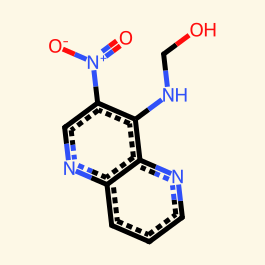 O=[N+]([O-])c1cnc2cccnc2c1NCO